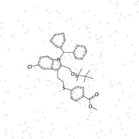 COC(=O)c1ccc(SCCc2c(CO[Si](C)(C)C(C)(C)C)n(C(c3ccccc3)c3ccccc3)c3ccc(Cl)cc23)cc1